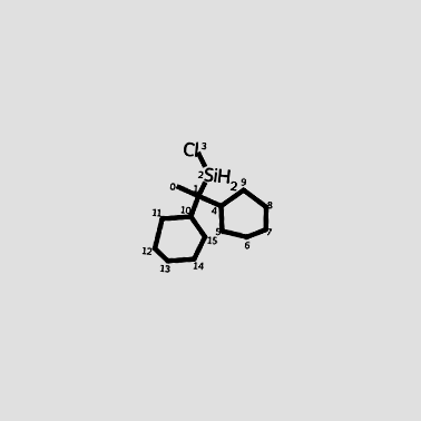 CC([SiH2]Cl)(C1CCCCC1)C1CCCCC1